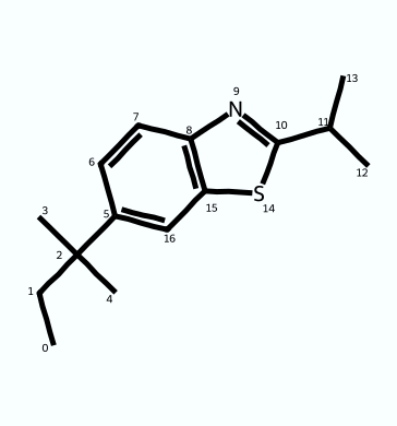 CCC(C)(C)c1ccc2nc(C(C)C)sc2c1